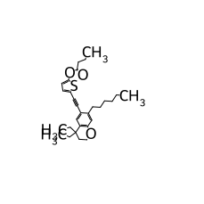 CCCCCCc1cc2c(cc1C#Cc1ccc(OC(=O)CCC)s1)C(CC)(CC)CCO2